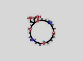 OCC1(CO)COCCNCCOCCCOCCNCCO1